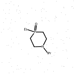 CCP1(=O)CCN(C(C)C)CC1